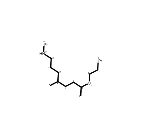 CC(C)CCOC(C)CCC(C)CCCNC(C)C